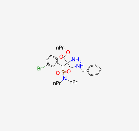 CCCOC(=O)C(N)(CNCc1ccccc1)C(c1cccc(Br)c1)S(=O)(=O)N(CCC)CCC